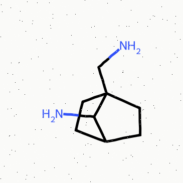 NCC12CCC(CC1)C2N